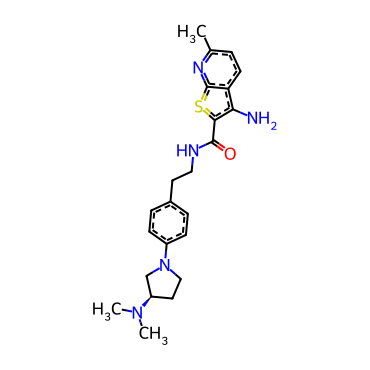 Cc1ccc2c(N)c(C(=O)NCCc3ccc(N4CC[C@@H](N(C)C)C4)cc3)sc2n1